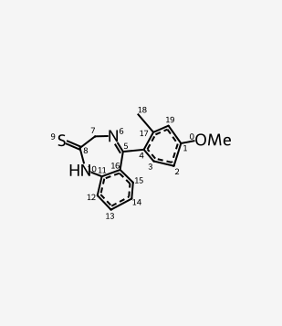 COc1ccc(C2=NCC(=S)Nc3ccccc32)c(C)c1